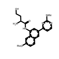 CNc1nccc(-c2cc(NC(=O)C(N)CCO)c3cc(OC)ccc3c2)n1